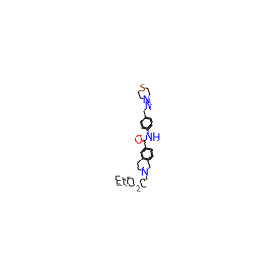 CCOC(=O)CN1CCc2cc(C(=O)Nc3ccc(C=NN4CCSCC4)cc3)ccc2C1